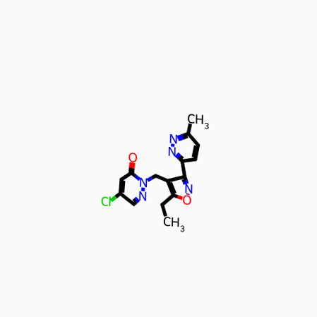 CCc1onc(-c2ccc(C)nn2)c1Cn1ncc(Cl)cc1=O